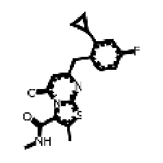 CNC(=O)c1c(C)sc2nc(Cc3ccc(F)cc3C3CC3)cc(=O)n12